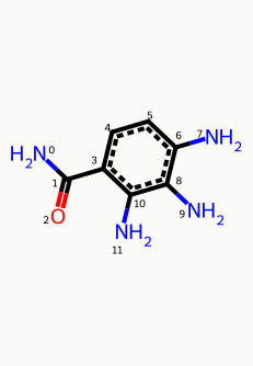 NC(=O)c1ccc(N)c(N)c1N